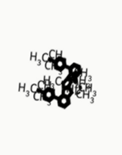 CCC1=C2c3c(-c4ccc(C(C)(C)C)cc4)cccc3[CH]1[Hf]([CH3])([CH3])[CH]1C(CC)=C(c3c(-c4ccc(C(C)(C)C)cc4)cccc31)C2C